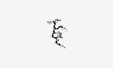 C=C\N=C/N=C(\C=C/C(=C/C(=C/C=C(\C)C(C)(C)C)C/C=C\C)C(C)(C)C)C(C)(C)C